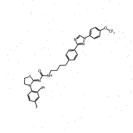 CC(C)c1cc(F)ccc1N1CCS/C1=N\C(=O)NCCCCc1ccc(-c2ncn(-c3ccc(OC(F)(F)F)cc3)n2)cc1